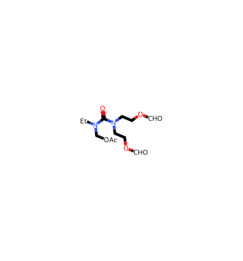 CCN(COC(C)=O)C(=O)N(CCOC=O)CCOC=O